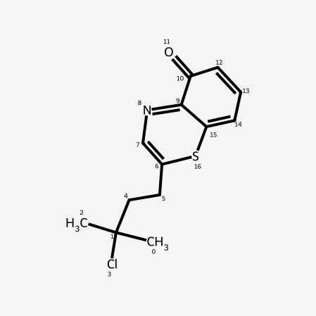 CC(C)(Cl)CCc1cnc2c(=O)cccc-2s1